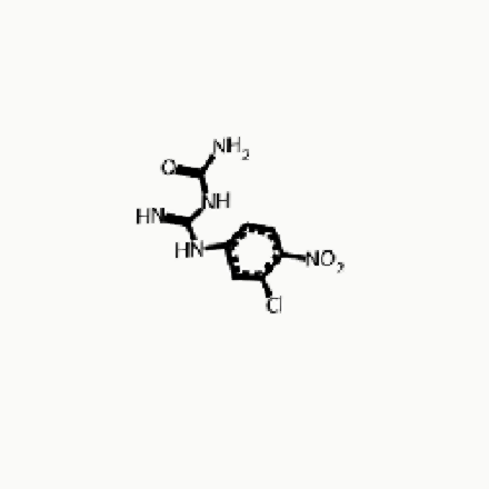 N=C(NC(N)=O)Nc1ccc([N+](=O)[O-])c(Cl)c1